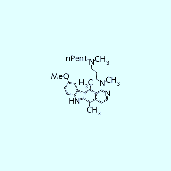 CCCCCN(C)CCCN(C)c1nccc2c(C)c3[nH]c4ccc(OC)cc4c3c(C)c12